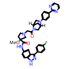 CO[C@@]1(C(=O)Nc2ccc3[nH]nc(-c4ccc(F)cc4)c3c2)CCN(CC(=O)N2C[C@@H]3C[C@H]2CN3c2ccc(-c3ncccn3)cc2)C1